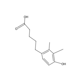 Cc1c(O)ccc(CCCCC(=O)O)c1C